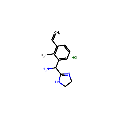 C=Cc1cccc(C(N)C2=NCCN2)c1C.Cl